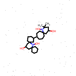 CC1(C)CC(O)CC2(CCCC(C3CCCC4(CC(O)CC5(CCCCC5)N4O)C3)CC2)N1O